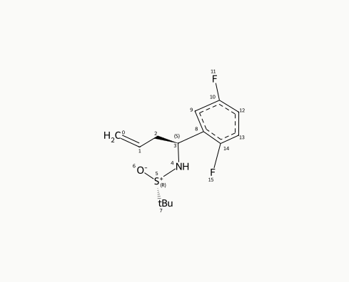 C=CC[C@H](N[S@@+]([O-])C(C)(C)C)c1cc(F)ccc1F